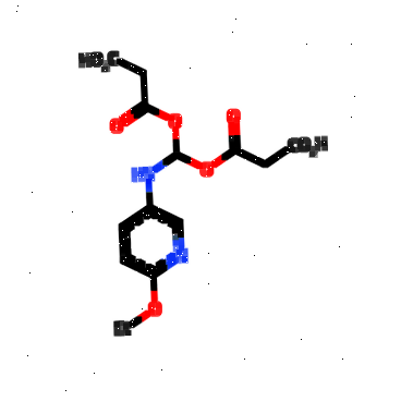 CCOc1ccc(NC(OC(=O)CC(=O)O)OC(=O)CC(=O)O)cn1